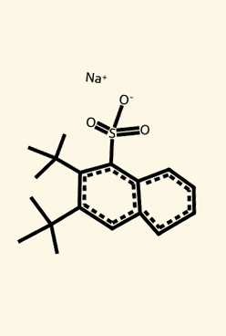 CC(C)(C)c1cc2ccccc2c(S(=O)(=O)[O-])c1C(C)(C)C.[Na+]